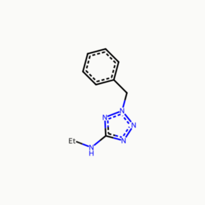 CCNc1nnn(Cc2ccccc2)n1